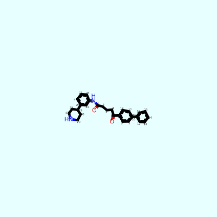 O=C(CCCC(=O)c1ccc(-c2ccccc2)cc1)Nc1cccc(C2CCNCC2)c1